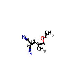 CCOC=C(C)C=C(C#N)C#N